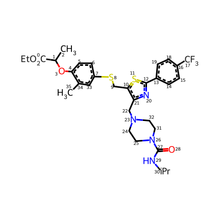 CCOC(=O)C(C)Oc1ccc(SCc2sc(-c3ccc(C(F)(F)F)cc3)nc2CN2CCN(C(=O)NC(C)C)CC2)cc1C